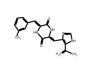 C=C(C)c1[nH]cnc1/C=c1\[nH]c(=O)/c(=C/c2cccc(C)c2)[nH]c1=O